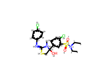 CCN(CC)S(=O)(=O)c1cc(C2(O)CSC(=Nc3ccc(Cl)cc3)N2C)ccc1Cl